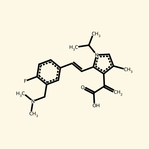 C=C(C(=O)O)c1c(C)cn(C(C)C)c1/C=C/c1ccc(F)c(CN(C)C)c1